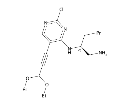 CCOC(C#Cc1cnc(Cl)nc1N[C@H](CN)CC(C)C)OCC